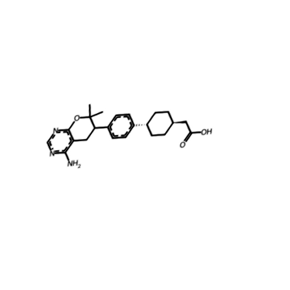 CC1(C)Oc2ncnc(N)c2CC1c1ccc([C@H]2CC[C@H](CC(=O)O)CC2)cc1